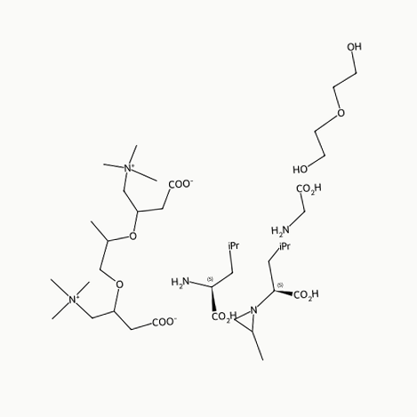 CC(C)C[C@@H](C(=O)O)N1CC1C.CC(C)C[C@H](N)C(=O)O.CC(COC(CC(=O)[O-])C[N+](C)(C)C)OC(CC(=O)[O-])C[N+](C)(C)C.NCC(=O)O.OCCOCCO